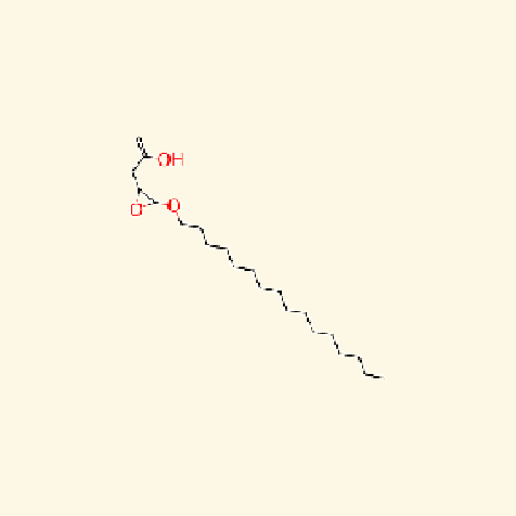 C=C(O)CC1OC1OCCCCCCCCCCCCCCCC